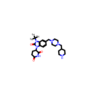 [2H]C([2H])([2H])n1c(=O)n(C2CCC(=O)NC2=O)c2ccc(CN3CCN(CC4CCNCC4)CC3)cc21